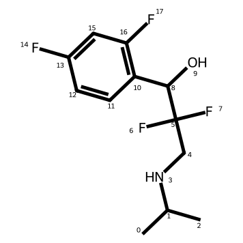 CC(C)NCC(F)(F)C(O)c1ccc(F)cc1F